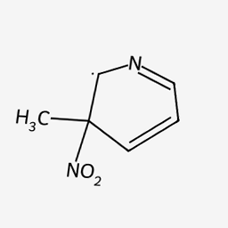 CC1([N+](=O)[O-])[CH]N=CC=C1